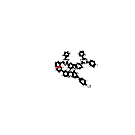 N#Cc1ccc(-c2cc3c4c(c2)-n2c5ccc(-c6nc(-c7ccccc7)nc(-c7ccccc7)n6)cc5c5cc(-c6nc(-c7ccccc7)nc(-c7ccccc7)n6)cc(c52)B4c2cc(-c4ccccc4)ccc2O3)cc1